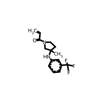 C=CC(=O)N1CCC(C)(Nc2cccc(C(F)(F)F)c2)C1